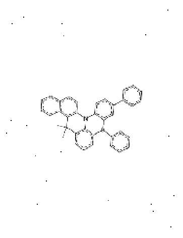 CC1(C)c2cccc3c2N(c2ccc(-c4ccccc4)cc2B3c2ccccc2)c2ccc3ccccc3c21